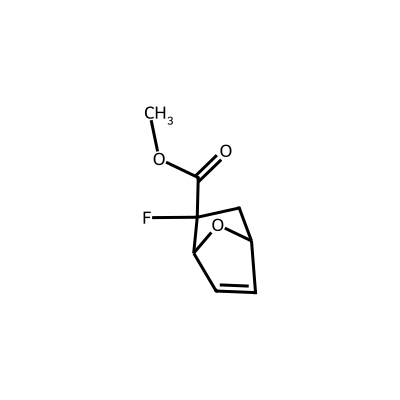 COC(=O)C1(F)CC2C=CC1O2